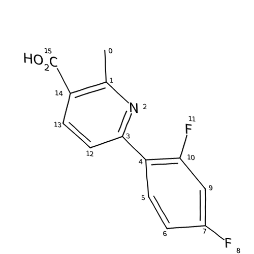 Cc1nc(-c2ccc(F)cc2F)ccc1C(=O)O